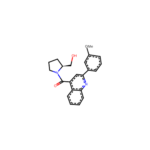 COc1cccc(-c2cc(C(=O)N3CCC[C@H]3CO)c3ccccc3n2)c1